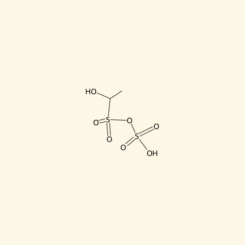 CC(O)S(=O)(=O)OS(=O)(=O)O